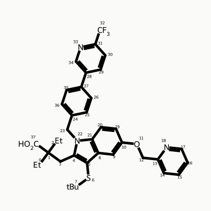 CCC(CC)(Cc1c(SC(C)(C)C)c2cc(OCc3ccccn3)ccc2n1Cc1ccc(-c2ccc(C(F)(F)F)nc2)cc1)C(=O)O